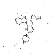 CCOC(=O)c1cc2ccc(N3CCN(C)CC3)nc2n2c1nc1ccccc12